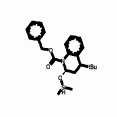 C[SiH](C)O[C@H]1CC(C(C)(C)C)c2ccccc2N1C(=O)OCc1ccccc1